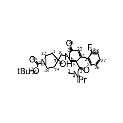 CC(C)N(C)C(=O)c1cn(CC2(O)CCN(C(=O)OC(C)(C)C)CC2)c(=O)cc1-c1ccccc1F